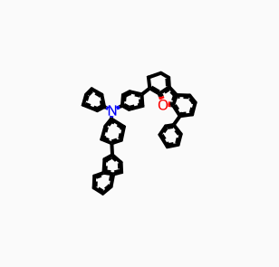 C1=c2c(oc3c(-c4ccccc4)cccc23)=C(c2ccc(N(c3ccccc3)c3ccc(-c4ccc5ccccc5c4)cc3)cc2)CC1